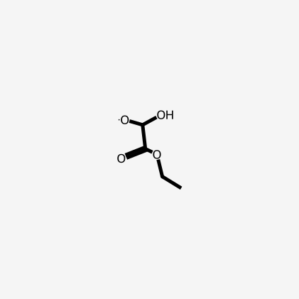 CCOC(=O)C([O])O